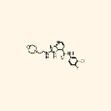 O=C(Nc1ccc(F)c(Cl)c1)c1ccnc2nc(NCCN3CCOCC3)[nH]c12